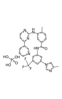 Cc1cn(-c2cc(NC(=O)c3ccc(C)c(Nc4nccc(-c5cccnc5)n4)c3)cc(C(F)(F)F)c2)cn1.O=P(O)(O)O